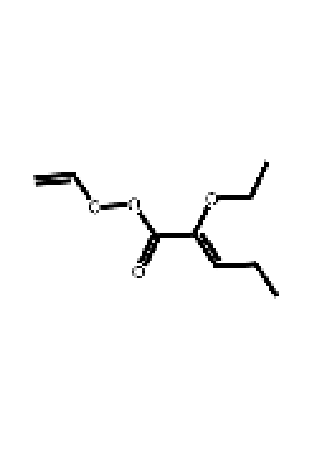 C=COOC(=O)C(=CCC)OCC